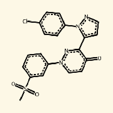 CS(=O)(=O)c1cccc(-n2ccc(=O)c(-c3ccnn3-c3ccc(Cl)cc3)n2)c1